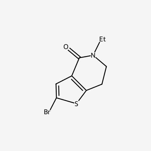 CCN1CCc2sc(Br)cc2C1=O